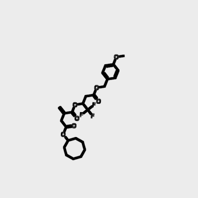 C=C(CC(=O)OC1CCCCCCC1)C(=O)OC(CC(=O)OCc1ccc(OC)cc1)C(F)(F)F